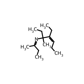 CCC=C(CC)C(C)(CC)N=C(C)CC